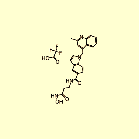 Cc1cc(Cn2ccc3cc(C(=O)NCCC(=O)NO)ccc32)c2ccccc2n1.O=C(O)C(F)(F)F